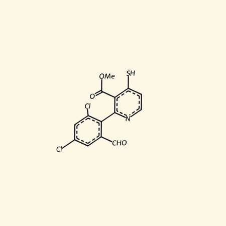 COC(=O)c1c(S)ccnc1-c1c(Cl)cc(Cl)cc1C=O